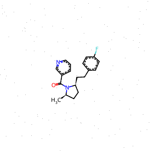 C[C@@H]1CC[C@H](CCc2ccc(F)cc2)N1C(=O)c1cccnc1